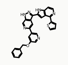 c1ccc(COc2cncc(-c3cc4c(-c5cc6c(-c7cccs7)nccc6[nH]5)n[nH]c4cn3)c2)cc1